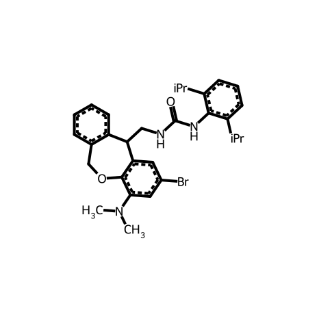 CC(C)c1cccc(C(C)C)c1NC(=O)NCC1c2ccccc2COc2c1cc(Br)cc2N(C)C